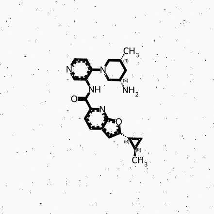 C[C@@H]1C[C@H](N)CN(c2ccncc2NC(=O)c2ccc3cc([C@@H]4C[C@H]4C)oc3n2)C1